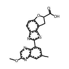 COc1cnc2c(-c3nc4ccc5c(c4s3)CC(C(=O)O)O5)cc(C)cc2n1